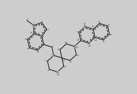 Cn1ccc2c(CN3CCOCC34CCN(c3cnc5ccccc5n3)CC4)cccc21